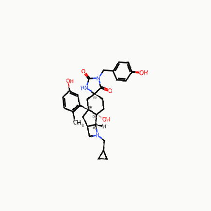 Cc1ccc(O)cc1[C@]12CC3CN(CC4CC4)[C@H]3[C@]1(O)CC[C@@]1(C2)NC(=O)N(Cc2ccc(O)cc2)C1=O